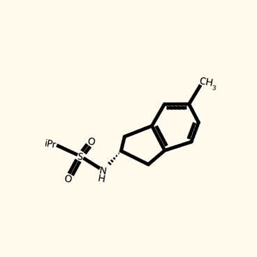 Cc1ccc2c(c1)C[C@@H](NS(=O)(=O)C(C)C)C2